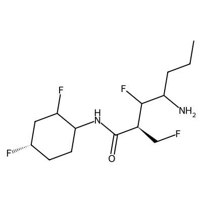 CCCC(N)C(F)[C@@H](CF)C(=O)NC1CC[C@H](F)CC1F